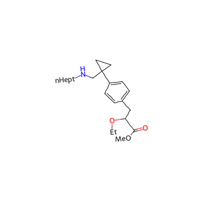 CCCCCCCNCC1(c2ccc(CC(OCC)C(=O)OC)cc2)CC1